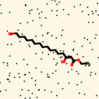 CCOC(=O)C=C(O)CCCCCCCCCCCCCO